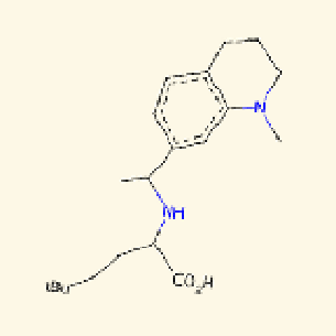 CC(NC(CCC(C)(C)C)C(=O)O)c1ccc2c(c1)N(C)CCC2